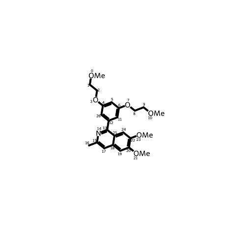 COCCOc1cc(OCCOC)cc(-c2nc(C)cc3cc(OC)c(OC)cc23)c1